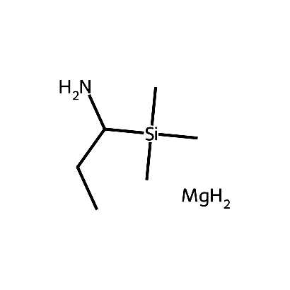 CCC(N)[Si](C)(C)C.[MgH2]